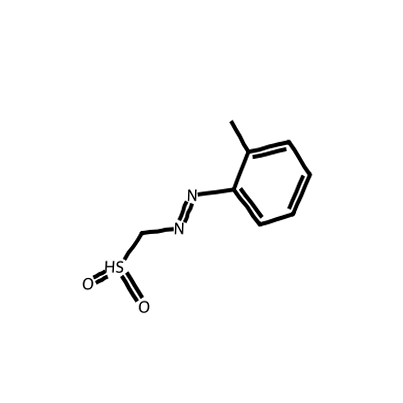 Cc1ccccc1N=NC[SH](=O)=O